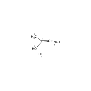 CC(=O)O.I.[NaH]